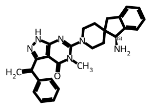 C=C(c1ccccc1)c1n[nH]c2nc(N3CCC4(CC3)Cc3ccccc3[C@H]4N)n(C)c(=O)c12